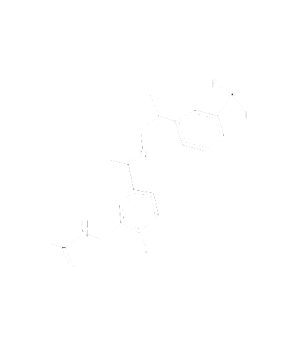 COC(=O)NOc1cc(/C(C)=N/OC(C)c2cccc(C(F)(F)F)c2)ccc1Cl